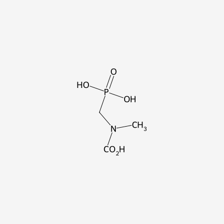 CN(CP(=O)(O)O)C(=O)O